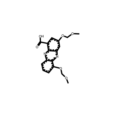 COCOc1cc(C(=O)O)c2nc3cccc(OCOC)c3nc2c1